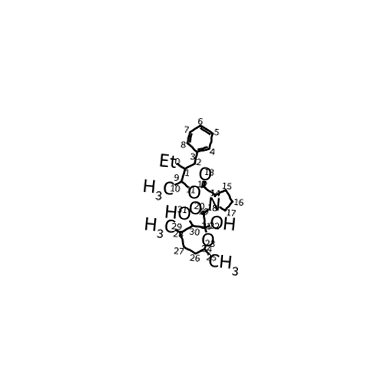 CCC(Cc1ccccc1)C(C)OC(=O)C1CCCN1C(=O)C1(O)OC(C)CCC(C)C1O